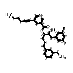 CCCCC#Cc1cncc(C(=O)OC(CNCc2cccc(CC)c2)C(N)Cc2cc(F)cc(F)c2)c1